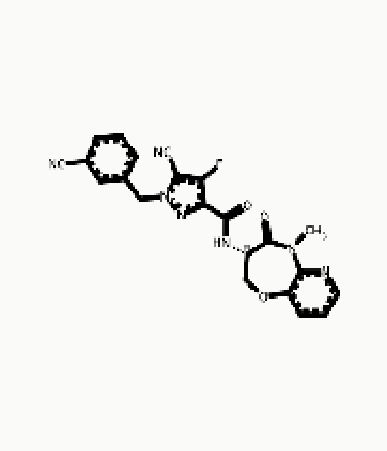 CN1C(=O)[C@@H](NC(=O)c2nn(Cc3cccc(C#N)c3)c(C#N)c2F)COc2cccnc21